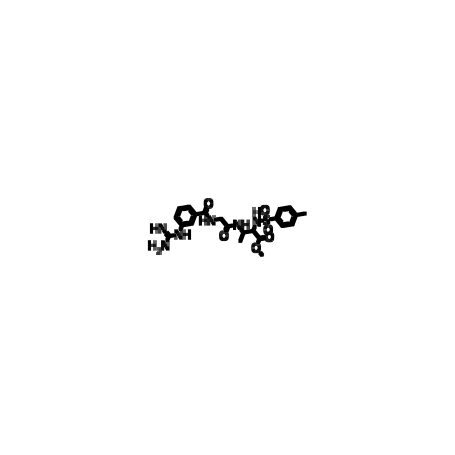 COC(=O)C(NS(=O)(=O)c1ccc(C)cc1)C(C)NC(=O)CNC(=O)c1cccc(NC(=N)N)c1